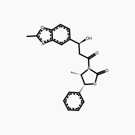 Cc1nc2cc([C@@H](O)CC(=O)N3C(=O)O[C@H](c4ccccc4)[C@@H]3C)ccc2o1